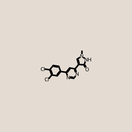 Cn1cc(-c2cc(-c3ccc(Cl)c(Cl)c3)ncn2)c(=O)[nH]1